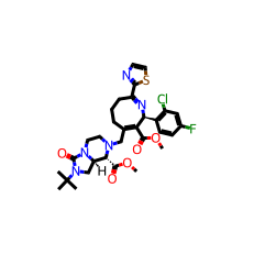 COC(=O)/C1=C(\CN2CCN3C(=O)N(C(C)(C)C)C[C@@H]3[C@H]2C(=O)OC)CCC/C(c2nccs2)=N\[C@H]1c1ccc(F)cc1Cl